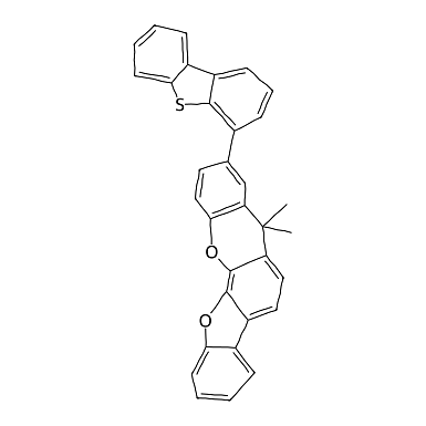 CC1(C)c2cc(-c3cccc4c3sc3ccccc34)ccc2Oc2c1ccc1c2oc2ccccc21